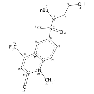 CCCCN(CCO)S(=O)(=O)c1ccc2c(c1)c(C(F)(F)F)cc(=O)n2C